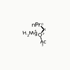 CCCCOC(C)=O.[MgH2]